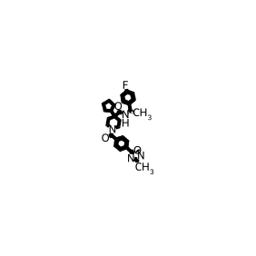 Cc1noc(-c2ccc(C(=O)N3CCC(C(=O)N[C@@H](C)c4ccc(F)cc4)(C4CCCC4)CC3)cc2)n1